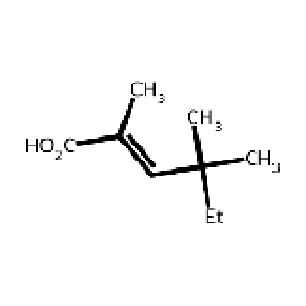 CCC(C)(C)C=C(C)C(=O)O